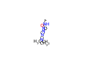 CC(C)(C)N1CCC(N2CCCN(c3cccc(C(=O)NCC4CC4)n3)CC2)CC1